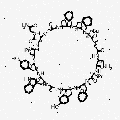 CCCC[C@H]1C(=O)N(C)CC(=O)N[C@@H](CN)C(=O)N[C@@H](C(C)C)C(=O)N(C)[C@@H](Cc2ccccc2)C(=O)N[C@@H](Cc2ccc(O)cc2)C(=O)N(C)CC(=O)N[C@@H](Cc2c[nH]c3ccccc23)C(=O)N[C@@H](Cc2ccc(O)cc2)C(=O)N[C@@H](CC(C)C)C(=O)N[C@H](C(=O)NCC(N)=O)CSCC(=O)N[C@@H](Cc2ccccc2)C(=O)N(C)[C@@H](Cc2ccccc2)C(=O)N1C